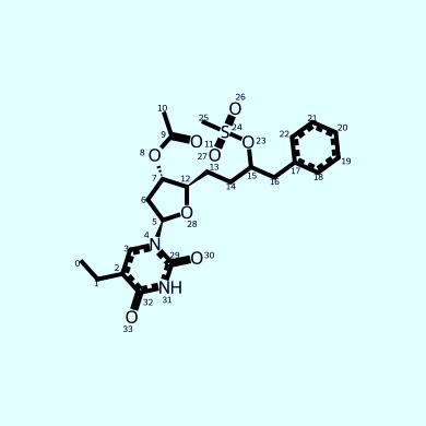 CCc1cn([C@H]2C[C@H](OC(C)=O)[C@@H](CCC(Cc3ccccc3)OS(C)(=O)=O)O2)c(=O)[nH]c1=O